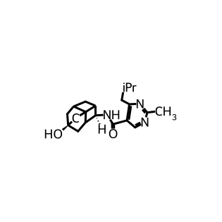 Cc1ncc(C(=O)N[C@H]2C3CC4CC2C[C@@](O)(C4)C3)c(CC(C)C)n1